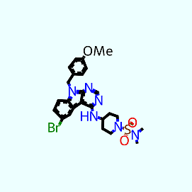 COc1ccc(Cn2c3ccc(Br)cc3c3c(NC4CCN(S(=O)(=O)N(C)C)CC4)ncnc32)cc1